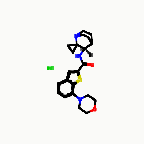 Cl.O=C(N[C@@H]1C2CCN(CC2)C12CC2)c1cc2cccc(N3CCOCC3)c2s1